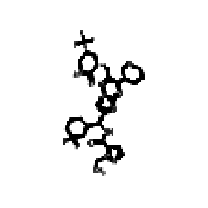 CCn1nccc1C(=O)N[C@H](c1cn2nc(C[C@H]3C[C@@H](C(F)(F)F)CNC3=O)c(C3CCCOC3)nc2n1)[C@@H]1CCCC(F)(F)C1